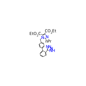 CCCc1nc(C(=O)OCC)c(C(=O)OCC)n1Cc1ccc(-c2ccccc2-c2nnn[nH]2)cc1